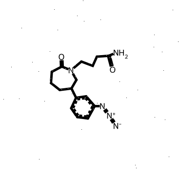 [N-]=[N+]=Nc1cccc(C2CCCC(=O)N(CCCC(N)=O)C2)c1